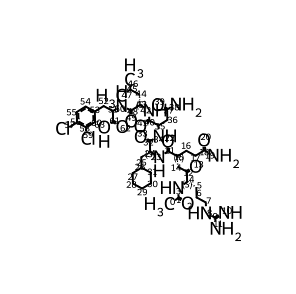 CC(=O)N[C@@H](CCCNC(=N)N)C(=O)C[C@@H](CCC(N)=O)C(=O)N[C@@H](CC1CCCCC1)C(=O)NC(CC(N)=O)C(=O)N[C@@H](CC(C)C)C(=O)NC(Cc1ccc(Cl)c(Cl)c1)C(=O)O